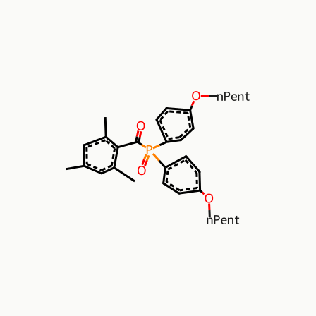 CCCCCOc1ccc(P(=O)(C(=O)c2c(C)cc(C)cc2C)c2ccc(OCCCCC)cc2)cc1